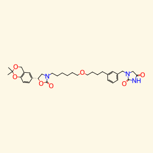 CC1(C)OCc2cc([C@@H]3CN(CCCCCCOCCCCc4cccc(CN5CC(=O)NC5=O)c4)C(=O)O3)ccc2O1